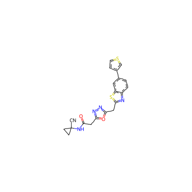 N#CC1(NC(=O)Cc2nnc(Cc3nc4ccc(-c5ccsc5)cc4s3)o2)CC1